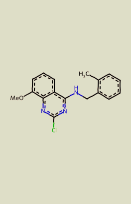 COc1cccc2c(NCc3ccccc3C)nc(Cl)nc12